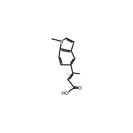 C/C(=C\C(=O)O)c1ccc2c(ccn2C)c1